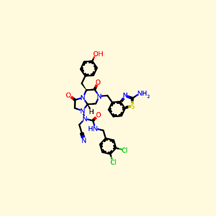 N#CCN(C(=O)NCc1ccc(Cl)c(Cl)c1)N1CC(=O)N2[C@@H](Cc3ccc(O)cc3)C(=O)N(Cc3cccc4sc(N)nc34)C[C@@H]21